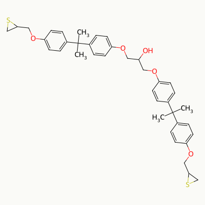 CC(C)(c1ccc(OCC(O)COc2ccc(C(C)(C)c3ccc(OCC4CS4)cc3)cc2)cc1)c1ccc(OCC2CS2)cc1